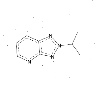 CC(C)n1nc2cccnc2n1